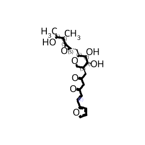 C[C@H]([C@@H]1O[C@H]1C[C@@H]1OC[C@H](CC(=O)CC(=O)/C=C/c2ccco2)[C@@H](O)[C@H]1O)[C@H](C)O